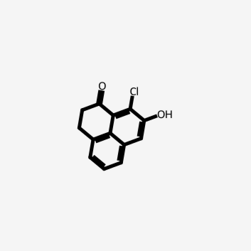 O=C1CCc2cccc3cc(O)c(Cl)c1c23